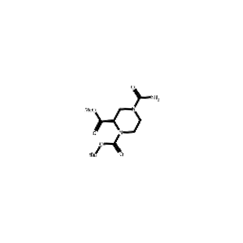 COC(=O)C1CN(C(N)=O)CCN1C(=O)OC(C)(C)C